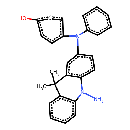 CC1(C)c2ccccc2N(N)c2ccc(N(c3ccccc3)c3ccc(O)cc3)cc21